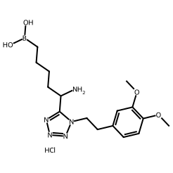 COc1ccc(CCn2nnnc2C(N)CCCCB(O)O)cc1OC.Cl